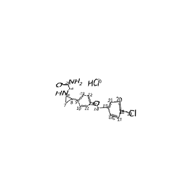 Cl.NC(=O)CNC1CC1c1ccc(OCc2ccc(Cl)cc2)cc1